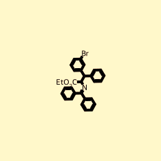 CCOC(=O)C(N=C(c1ccccc1)c1ccccc1)C(c1ccccc1)c1cccc(Br)c1